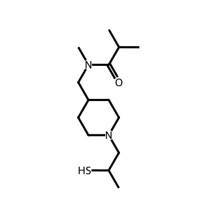 CC(S)CN1CCC(CN(C)C(=O)C(C)C)CC1